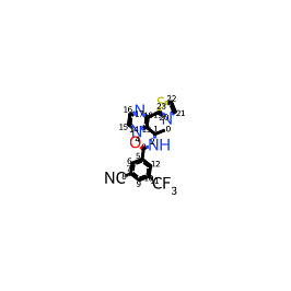 CC(NC(=O)c1cc(C#N)cc(C(F)(F)F)c1)c1nccnc1-c1nccs1